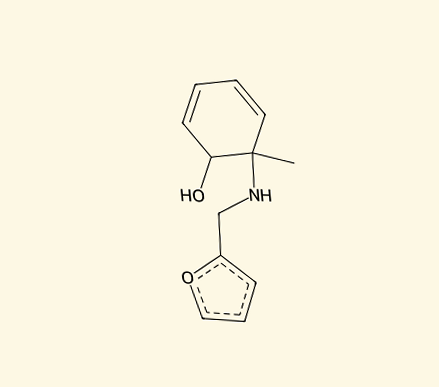 CC1(NCc2ccco2)C=CC=CC1O